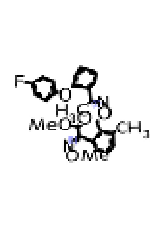 CO/N=C(/C(=O)OC)c1cccc(C)c1CO/N=C(\C)c1ccccc1Oc1ccc(F)cc1